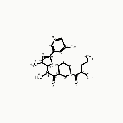 CCCC(C)C(=O)N1CCCC(C(=O)N(C)C2SC(c3cncc(F)c3)=NC2C)C1